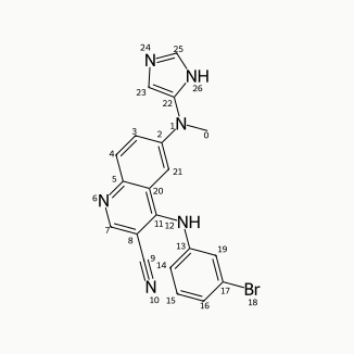 CN(c1ccc2ncc(C#N)c(Nc3cccc(Br)c3)c2c1)c1cnc[nH]1